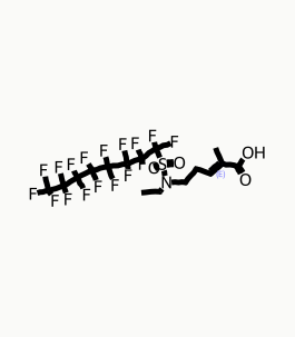 CCN(CC/C=C(\C)C(=O)O)S(=O)(=O)C(F)(F)C(F)(F)C(F)(F)C(F)(F)C(F)(F)C(F)(F)C(F)(F)C(F)(F)F